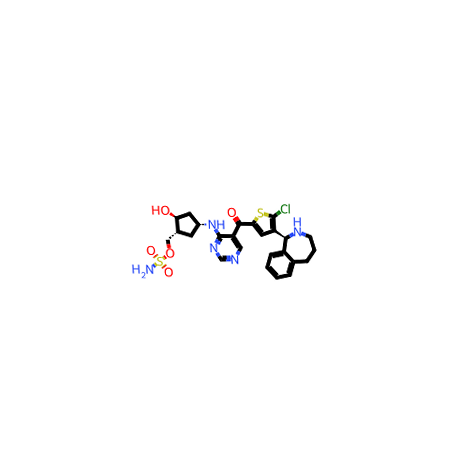 NS(=O)(=O)OC[C@H]1C[C@@H](Nc2ncncc2C(=O)c2cc([C@H]3NCCCc4ccccc43)c(Cl)s2)C[C@@H]1O